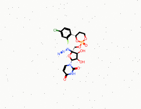 [N-]=[N+]=N[C@]1(COP2(=O)OCC[C@@H](c3ccc(Cl)cc3F)O2)O[C@@H](n2ccc(=O)[nH]c2=O)[C@H](O)[C@@H]1O